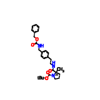 CC(C)(C)OC(=O)N1CCC[C@@]1(C)C(=O)NCCc1ccc(CNC(=O)OCc2ccccc2)cc1